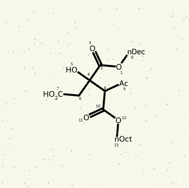 CCCCCCCCCCOC(=O)C(O)(CC(=O)O)C(C(C)=O)C(=O)OCCCCCCCC